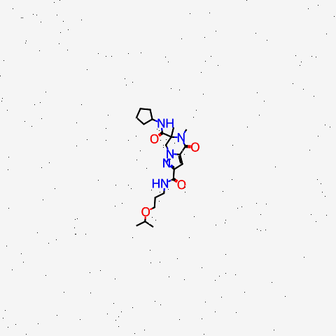 CC(C)OCCCNC(=O)c1cc2n(n1)CC(C)(C(=O)NC1CCCC1)N(C)C2=O